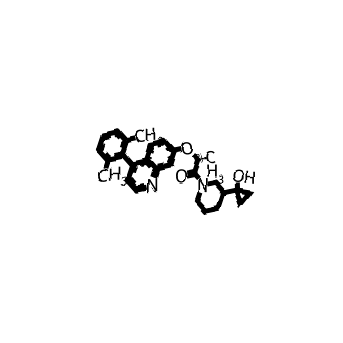 Cc1cccc(C)c1-c1ccnc2cc(O[C@H](C)C(=O)N3CCCC(C4(O)CC4)C3)ccc12